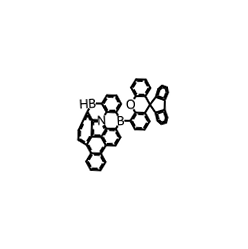 B1c2cccc3c2-n2c4c1ccc1c5ccccc5c5ccc(c2c5c14)B3c1cccc2c1Oc1ccccc1C21c2ccccc2-c2ccccc21